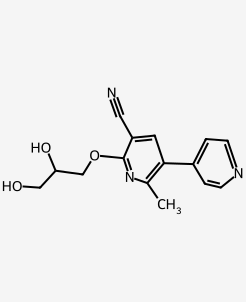 Cc1nc(OCC(O)CO)c(C#N)cc1-c1ccncc1